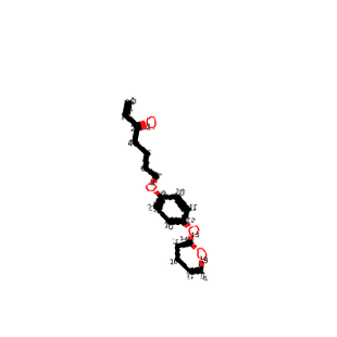 C=CC(=O)CCCCOc1ccc(OC2CCCCO2)cc1